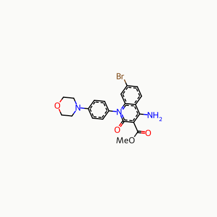 COC(=O)c1c(N)c2ccc(Br)cc2n(-c2ccc(N3CCOCC3)cc2)c1=O